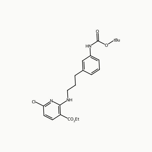 CCOC(=O)c1ccc(Cl)nc1NCCCc1cccc(NC(=O)OC(C)(C)C)c1